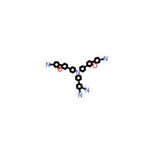 N#Cc1ccc2c(c1)oc1cc(-c3ccc(N(c4ccc(-c5ccc(C#N)c(C#N)c5)cc4)c4ccc(-c5ccc6c(c5)oc5cc(C#N)ccc56)cc4)cc3)ccc12